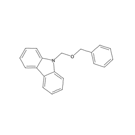 c1ccc(COCn2c3ccccc3c3ccccc32)cc1